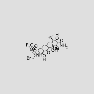 CN(C)C1=C2CC3Cc4cc(OS(=O)(=O)C(F)(F)F)c(NC(=O)CBr)c(O)c4C(=O)C3=C(O)[C@@]2(O)C(=O)C(C(N)=O)C1O